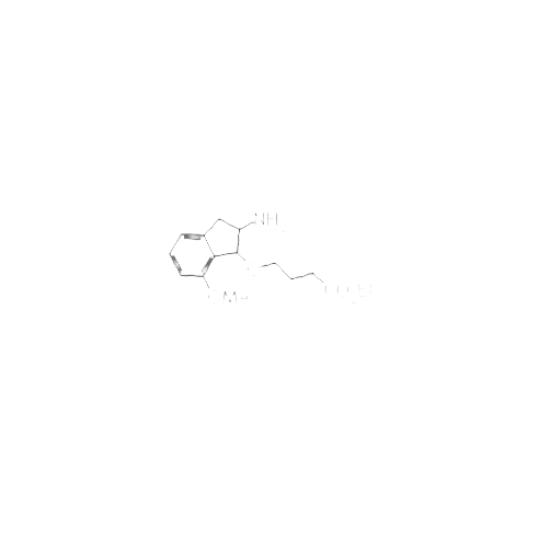 CCOC(=O)CCCOC1c2c(cccc2OC)CC1N